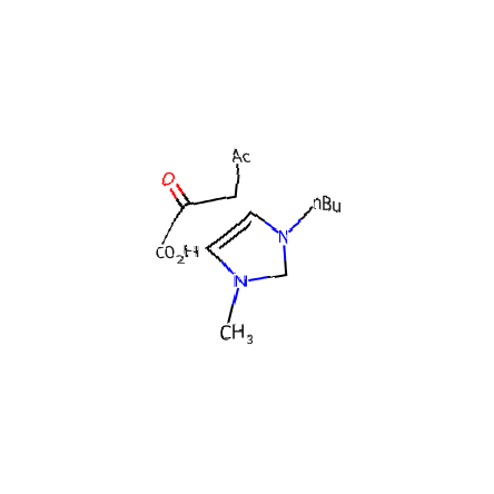 CC(=O)CC(=O)C(=O)O.CCCCN1C=CN(C)C1